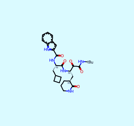 CC(C)(C)NC(=O)C(=O)[C@H](C[C@@H]1CCCNC1=O)NC(=O)[C@H](CC1CCC1)NC(=O)c1cc2ccccc2[nH]1